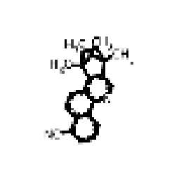 CC12CCC(C)(c3c1cnc1c3ccc3c(C#N)cccc31)C2(C)C